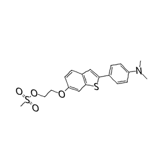 CN(C)c1ccc(-c2cc3ccc(OCCOS(C)(=O)=O)cc3s2)cc1